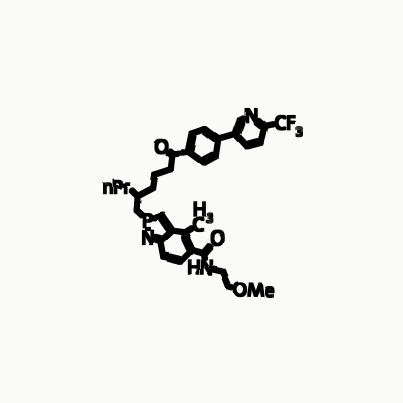 CCCC(CCCC(=O)c1ccc(-c2ccc(C(F)(F)F)nc2)cc1)Cp1cc2c(C)c(C(=O)NCCOC)ccc2n1